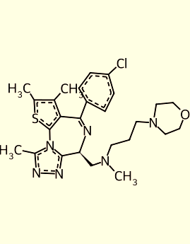 Cc1sc2c(c1C)C(c1ccc(Cl)cc1)=N[C@@H](CN(C)CCCN1CCOCC1)c1nnc(C)n1-2